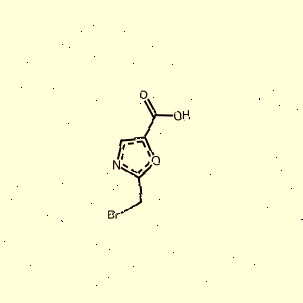 O=C(O)c1cnc(CBr)o1